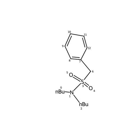 CCCCN(CCCC)S(=O)(=O)Cc1ccccc1